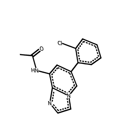 CC(=O)Nc1cc(-c2ccccc2Cl)cn2ccnc12